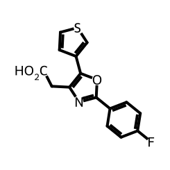 O=C(O)Cc1nc(-c2ccc(F)cc2)oc1-c1ccsc1